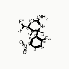 C[C@H]1[C@@H](C(F)F)OC(N)=N[C@]1(C)c1cc([N+](=O)[O-])ccc1F